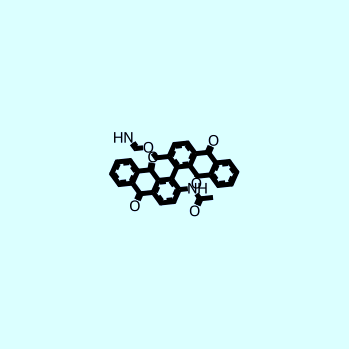 CC(=O)Nc1ccc2c(c1-c1c(COC=N)ccc3c1C(=O)c1ccccc1C3=O)C(=O)c1ccccc1C2=O